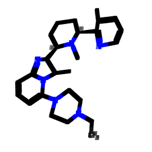 Cc1cccnc1[C@@H]1CCC[C@H](C2N=C3C=CC=C(N4CCN(CC(F)(F)F)CC4)N3C2C)N1C